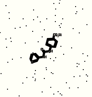 CCOC(=O)c1ccc(NC(=O)Nc2cccnc2)cc1